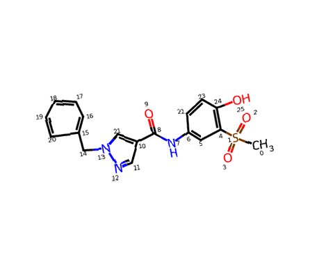 CS(=O)(=O)c1cc(NC(=O)c2cnn(Cc3ccccc3)c2)ccc1O